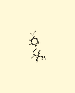 COc1cnc(CCC(C)S(N)(=O)=O)nc1